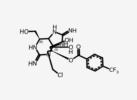 N=C1NC2[C@H](CO)NC(=N)N3C(CCl)[C@H](OC(=O)c4ccc(C(F)(F)F)cc4)C(O)(O)C23N1